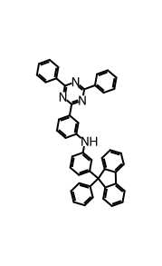 c1ccc(-c2nc(-c3ccccc3)nc(-c3cccc(Nc4cccc(C5(c6ccccc6)c6ccccc6-c6ccccc65)c4)c3)n2)cc1